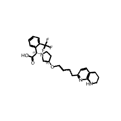 O=C(O)[C@H](c1ccccc1C(F)(F)F)N1CC[C@@H](OCCCCc2ccc3c(n2)NCCC3)C1